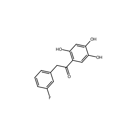 O=C(Cc1cccc(F)c1)c1cc(O)c(O)cc1O